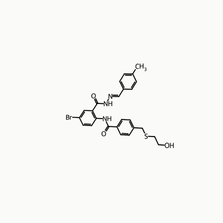 Cc1ccc(C=NNC(=O)c2cc(Br)ccc2NC(=O)c2ccc(CSCCO)cc2)cc1